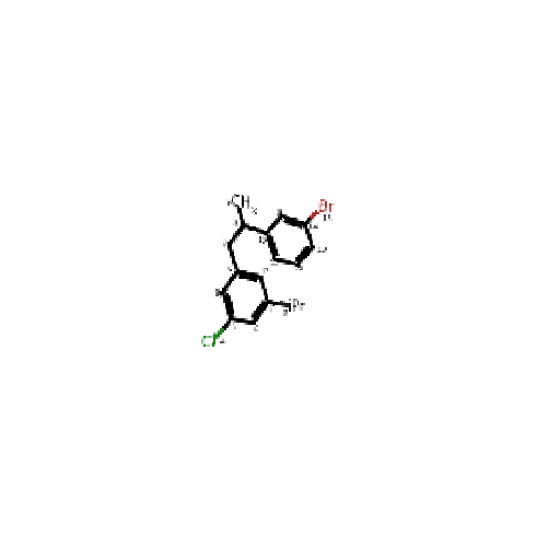 CC(C)c1cc(Cl)cc(CC(C)c2cccc(Br)c2)c1